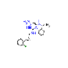 CC(NC1=CN(N)NC(NCC2CC2c2ccccc2F)=N1)c1ccccc1